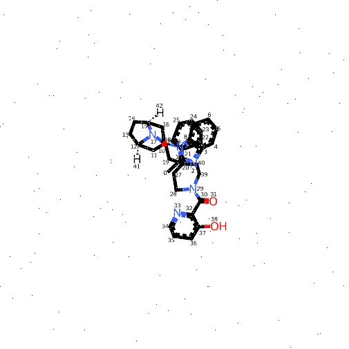 Cc1nc2ccccc2n1[C@H]1C[C@H]2CC[C@@H](C1)N2CCC1(c2ccccc2)CCN(C(=O)c2ncccc2O)CC1